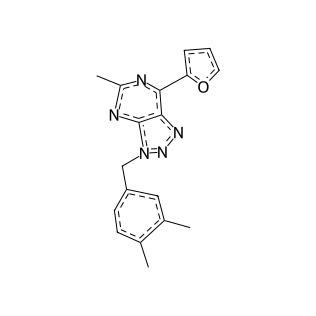 Cc1nc(-c2ccco2)c2nnn(Cc3ccc(C)c(C)c3)c2n1